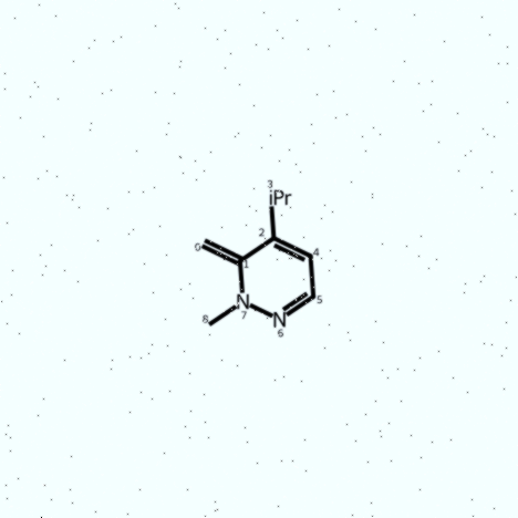 C=C1C(C(C)C)=CC=NN1C